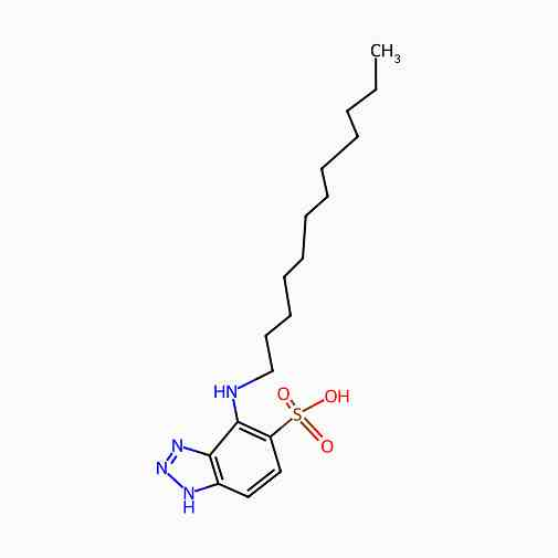 CCCCCCCCCCCCNc1c(S(=O)(=O)O)ccc2[nH]nnc12